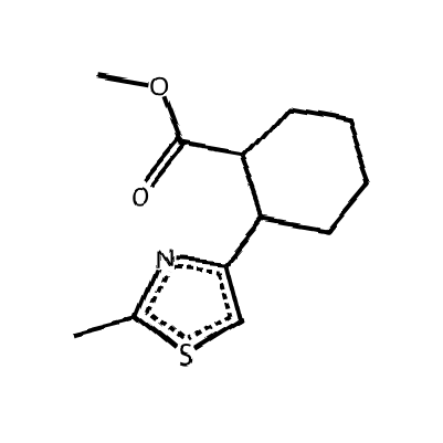 COC(=O)C1CCCCC1c1csc(C)n1